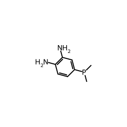 CP(C)c1ccc(N)c(N)c1